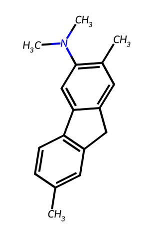 Cc1ccc2c(c1)Cc1cc(C)c(N(C)C)cc1-2